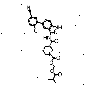 CC(C)C(=O)OCOC(=O)N1CCC[C@@H](C(=O)Nc2n[nH]c3ccc(-c4cc(C#N)ccc4Cl)cc23)C1